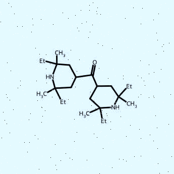 CCC1(C)CC(C(=O)C2CC(C)(CC)NC(C)(CC)C2)CC(C)(CC)N1